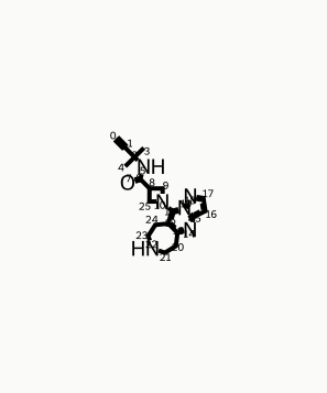 C#CC(C)(C)NC(=O)C1CN(c2c3c(nc4ccnn24)CCNCC3)C1